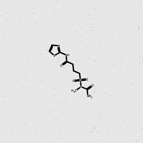 CN(C(N)=O)S(=O)(=O)CC[CH]C(=O)Nc1nccs1